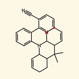 CC1(C)C2C=CCCC2N(c2ccccc2-c2ncccc2C#N)C2C=CCCC21